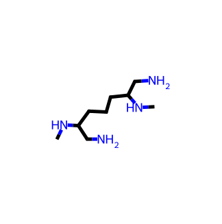 CNC(CN)CCCC(CN)NC